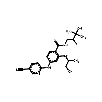 CC(CO)Nc1cc(Nc2ncc(C#N)cn2)ncc1C(=O)NCC(F)C(C)(C)O